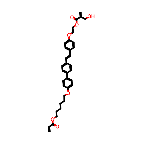 C=CC(=O)OCCCCCCOc1ccc(-c2ccc(/C=C/c3ccc(OCCOC(=O)C(=C)CO)cc3)cc2)cc1